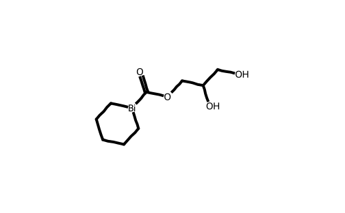 O=[C](OCC(O)CO)[Bi]1[CH2]CCC[CH2]1